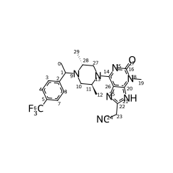 CC(c1ccc(C(F)(F)F)cc1)N1C[C@H](C)N(c2nc(=O)n(C)c3[nH]c(CC#N)nc23)C[C@H]1C